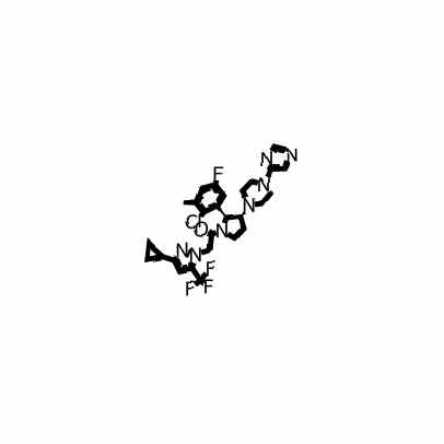 Cc1cc(F)cc([C@H]2[C@@H](N3CCN(c4cnccn4)CC3)CCN2C(=O)Cn2nc(C3CC3)cc2C(F)(F)F)c1Cl